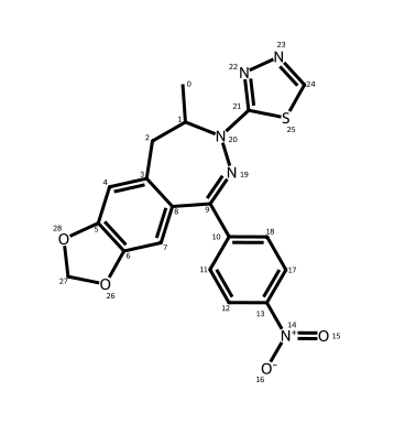 CC1Cc2cc3c(cc2C(c2ccc([N+](=O)[O-])cc2)=NN1c1nncs1)OCO3